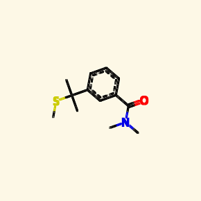 CSC(C)(C)c1cccc(C(=O)N(C)C)c1